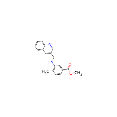 COC(=O)c1ccc(C)c(NCc2cnc3ccccc3c2)c1